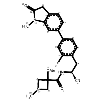 COC1(C(=O)N[C@H](C#N)Cc2ccc(-c3ccc4c(c3)N(C)C(=O)C4)cc2F)CN(C)C1